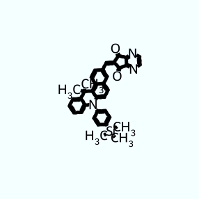 CC1(C)c2ccccc2N(c2ccc([Si](C)(C)C)cc2)c2ccc3cc(C=C4C(=O)c5nccnc5C4=O)ccc3c21